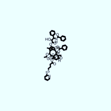 CC(=O)O[C@H]1C(=O)[C@]2(C)[C@@H](OC(=O)CCCSSc3ccccn3)C[C@H]3OC[C@@]3(OC(C)=O)[C@H]2[C@H](OC(=O)c2ccccc2)[C@]2(O)C[C@H](OC(=O)[C@H](O)C(NC(=O)c3ccccc3)c3ccccc3)C(C)=C1C2(C)C